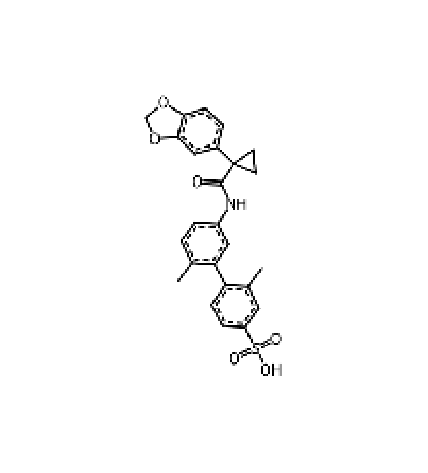 Cc1cc(S(=O)(=O)O)ccc1-c1cc(NC(=O)C2(c3ccc4c(c3)OCO4)CC2)ccc1C